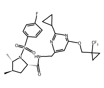 C[C@@H]1C[C@@H](C(=O)NCc2cc(OCC3(C(F)(F)F)CC3)nc(C3CC3)n2)N(S(=O)(=O)c2ccc(F)cc2)[C@H]1C